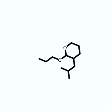 CCCOC1OCCCC1C[C](C)C